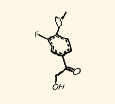 COc1ccc(C(=O)CO)cc1F